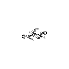 CCOC(=O)C(CCCCC(CC)(CC)COC1CCCCO1)(CCCCC(CC)(CC)COC1CCCCO1)C(=O)OCC